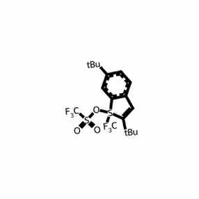 CC(C)(C)C1=Cc2ccc(C(C)(C)C)cc2S1(OS(=O)(=O)C(F)(F)F)C(F)(F)F